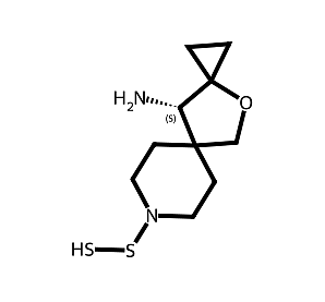 N[C@H]1C2(CCN(SS)CC2)COC12CC2